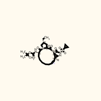 CC[C@@H]1C[C@H]2C(=O)N[C@]3(C(=O)NS(=O)(=O)C4CC4)C[C@H]3/C=C\CCCCC[C@H](NC(=O)OC(C)(C)C)C(=O)N2C1